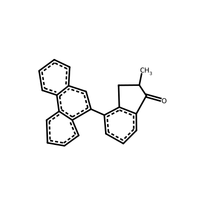 CC1Cc2c(cccc2-c2cc3ccccc3c3ccccc23)C1=O